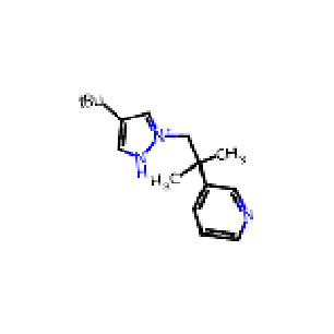 CC(C)(C)c1c[nH][n+](CC(C)(C)c2cccnc2)c1